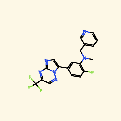 CN(Cc1cccnc1)c1cc(-c2cnc3nc(C(F)(F)F)cnn23)ccc1F